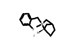 C[N+]1(Cc2ccccc2F)CC2CC[C@H]1C2.[I-]